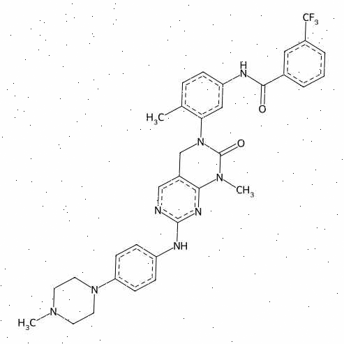 Cc1ccc(NC(=O)c2cccc(C(F)(F)F)c2)cc1N1Cc2cnc(Nc3ccc(N4CCN(C)CC4)cc3)nc2N(C)C1=O